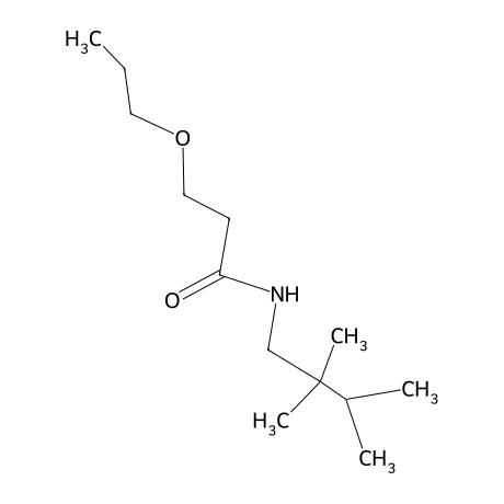 CCCOCCC(=O)NCC(C)(C)C(C)C